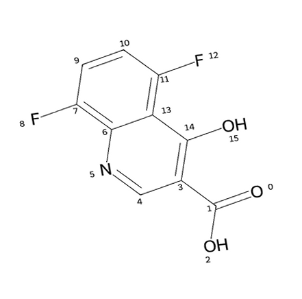 O=C(O)c1cnc2c(F)ccc(F)c2c1O